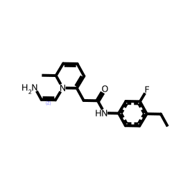 CCc1ccc(NC(=O)CC2=CC=CC(C)N2/C=C\N)cc1F